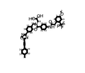 COc1ccc(CC(=O)Nc2ccc(C(=O)N(Cc3ccc(-c4noc(C#Cc5ccc(C)cc5)n4)cc3)CC(O)O)cc2)c(C(F)(F)F)c1